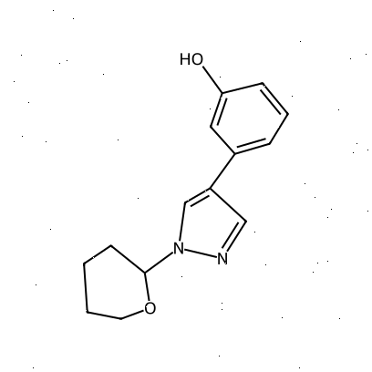 Oc1cccc(-c2cnn(C3CCCCO3)c2)c1